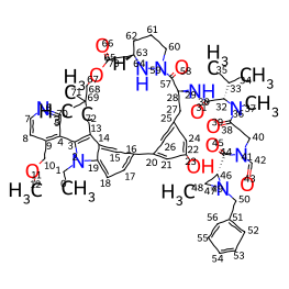 CCn1c(-c2cnccc2COC)c2c3cc(ccc31)-c1cc(O)cc(c1)C[C@H](NC(=O)[C@H](C(C)C)N(C)C(=O)CN(C=O)C(=O)[C@H]1[C@@H](C)N1Cc1ccccc1)C(=O)N1CCC[C@H](N1)C(=O)OCC(C)(C)C2